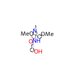 C=CCN1CCC2(c3cccc(OC)c3)CC(NC(=O)/C=C/c3cccc(O)c3)CCC2(OC)C1